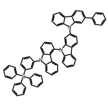 c1ccc(-c2ccc3c4ccccc4n(-c4ccc5c6ccccc6n(-c6cccc7c6c6ccccc6n7-c6cccc([Si](c7ccccc7)(c7ccccc7)c7ccccc7)c6)c5c4)c3c2)cc1